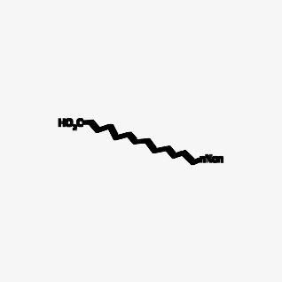 CCCCCCCCC/C=C/C=C/C=C/C=C/C=C/C=C/C(=O)O